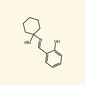 CCCCC1(N=Cc2ccccc2O)CCCCC1